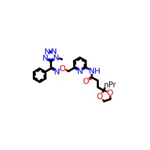 CCCC1(CCC(=O)Nc2cccc(CO/N=C(/c3ccccc3)c3nnnn3C)n2)OCCO1